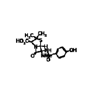 CNC1(NC(=O)c2ccc(O)cc2)C(=O)N2[C@@H](C(=O)O)C(C)(C)S[C@@H]21